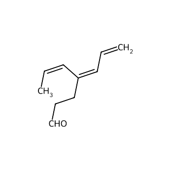 C=C/C=C(\C=C/C)CCC=O